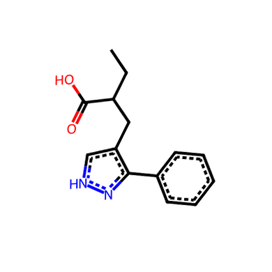 CCC(Cc1c[nH]nc1-c1ccccc1)C(=O)O